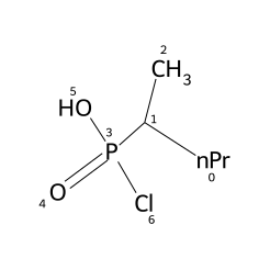 CCCC(C)P(=O)(O)Cl